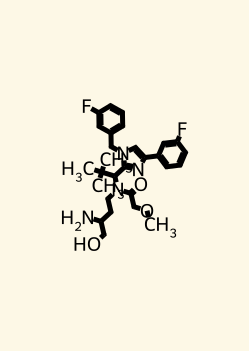 COCC(=O)N(CCC(N)CO)C(c1nc(-c2cccc(F)c2)cn1Cc1cccc(F)c1)C(C)(C)C